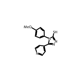 COc1ccc(-n2c(S)nnc2-c2ccncc2)cc1